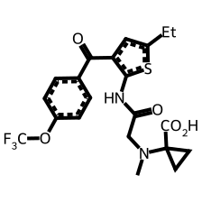 CCc1cc(C(=O)c2ccc(OC(F)(F)F)cc2)c(NC(=O)CN(C)C2(C(=O)O)CC2)s1